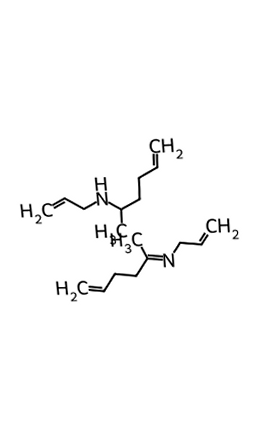 C=CCC/C(C)=N/CC=C.C=CCCC(C)NCC=C